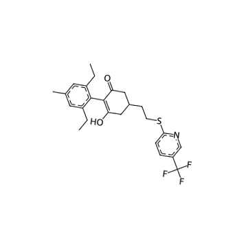 CCc1cc(C)cc(CC)c1C1=C(O)CC(CCSc2ccc(C(F)(F)F)cn2)CC1=O